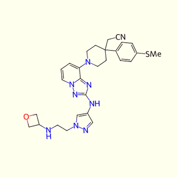 CSc1ccc(C2(CC#N)CCN(c3cccn4nc(Nc5cnn(CCNC6COC6)c5)nc34)CC2)cc1